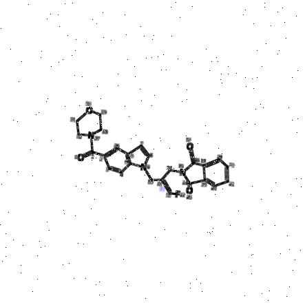 O=C(c1ccc2c(ccn2C/C(=C/F)CN2C(=O)c3ccccc3C2=O)c1)N1CCOCC1